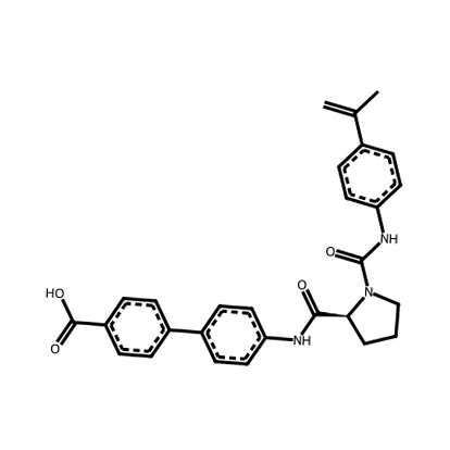 C=C(C)c1ccc(NC(=O)N2CCC[C@H]2C(=O)Nc2ccc(-c3ccc(C(=O)O)cc3)cc2)cc1